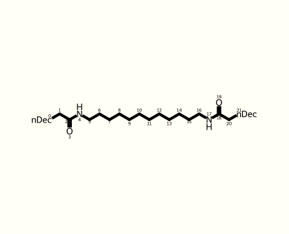 CCCCCCCCCCCC(=O)NCCCCCCCCCCCCNC(=O)CCCCCCCCCCC